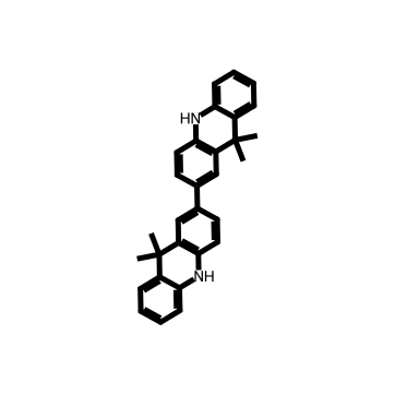 CC1(C)c2ccccc2Nc2ccc(-c3ccc4c(c3)C(C)(C)c3ccccc3N4)cc21